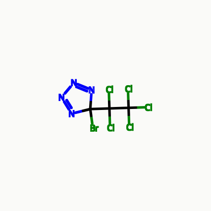 ClC(Cl)(Cl)C(Cl)(Cl)C1(Br)N=NN=N1